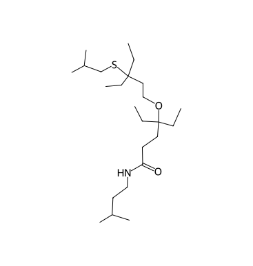 CCC(CC)(CCC(=O)NCCC(C)C)OCCC(CC)(CC)SCC(C)C